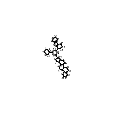 c1ccc(-c2nc(-c3ccc4c(ccc5c4ccc4c6ccccc6ccc45)c3)nc(-c3cccc4c3sc3ccccc34)n2)cc1